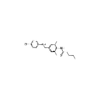 CCCCC(=O)Nc1c(C)cc(CNc2ccc(Cl)cc2)cc1C